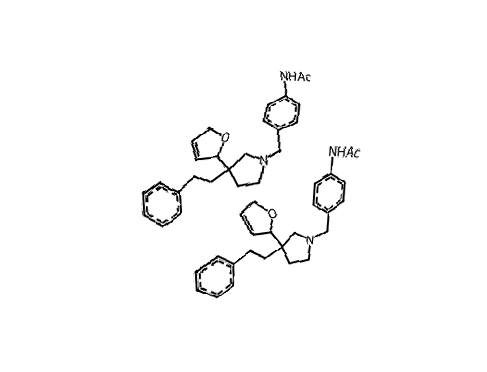 CC(=O)Nc1ccc(CN2CCC(CCc3ccccc3)(C3C=CCO3)C2)cc1.CC(=O)Nc1ccc(CN2CCC(CCc3ccccc3)(C3C=CCO3)C2)cc1